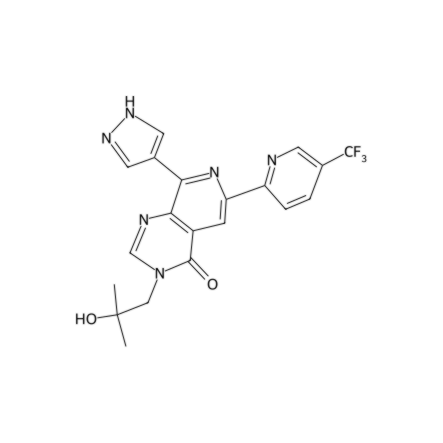 CC(C)(O)Cn1cnc2c(-c3cn[nH]c3)nc(-c3ccc(C(F)(F)F)cn3)cc2c1=O